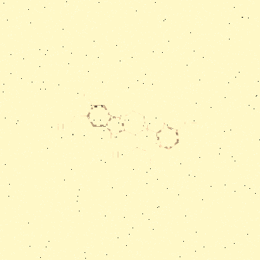 Cc1ccnc(N2CCn3c(nc4cc(CO)c(C)cc43)[C@H]2C(C)C)n1